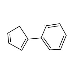 [c]1ccccc1C1=CC=CC1